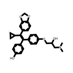 CN(C)CC(O)COc1ccc(C(=C(c2ccc3c(c2)OCO3)C2CC2)c2ccc(O)cc2)cc1